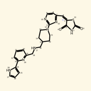 O=C1NC(=O)/C(=C\c2ccnc(N3CCC(CNCc4cccc(-c5ccc[nH]5)n4)CC3)n2)S1